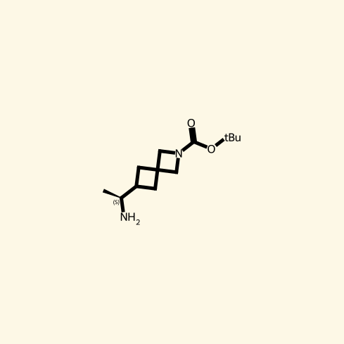 C[C@H](N)C1CC2(C1)CN(C(=O)OC(C)(C)C)C2